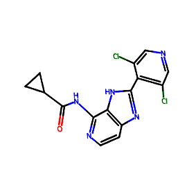 O=C(Nc1nccc2nc(-c3c(Cl)cncc3Cl)[nH]c12)C1CC1